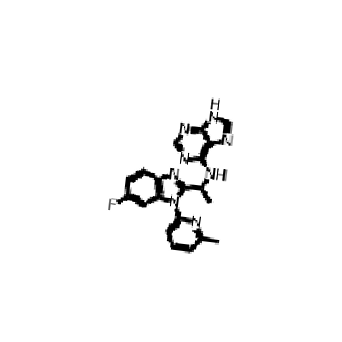 Cc1cccc(-n2c(C(C)Nc3ncnc4[nH]cnc34)nc3ccc(F)cc32)n1